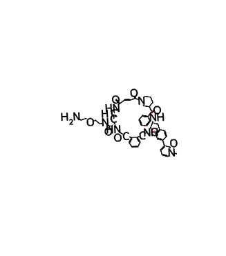 Cn1cccc(-c2ccc(C[C@@H]3NC(=O)[C@]4(Cc5ccccc5)CCCN(C4)C(=O)/C=C/C(=O)NCC[C@@H](C(=O)NCCOCCN)NC(=O)Cc4ccccc4CNC3=O)cc2)c1=O